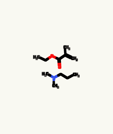 C=C(C)C(=O)OCC.CCCN(C)C